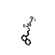 CCCC[SiH](Br)CC=Cc1cccc2ccccc12